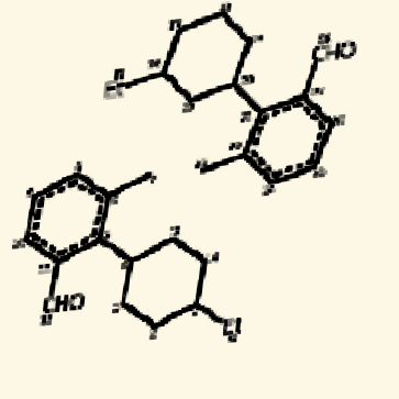 CCC1CCC(c2c(C)cccc2C=O)CC1.CCC1CCCC(c2c(C)cccc2C=O)C1